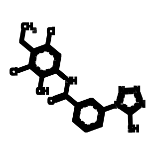 CCc1c(Cl)cc(NC(=O)c2cccc(-n3nnnc3S)c2)c(O)c1Cl